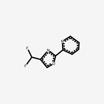 FC(F)c1coc(-c2ccccn2)n1